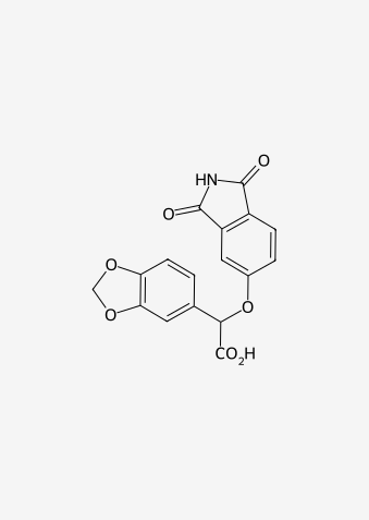 O=C1NC(=O)c2cc(OC(C(=O)O)c3ccc4c(c3)OCO4)ccc21